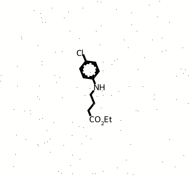 CCOC(=O)CCCNc1ccc(Cl)cc1